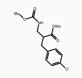 COC(=O)C(CNC(=O)OC(C)(C)C)Cc1ccc(Cl)cc1